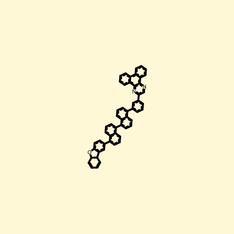 C1=CC2Oc3ccc(-c4cccc5c(-c6cccc7c(-c8cccc(-c9cnc%10c%11ccccc%11c%11ccccc%11c%10n9)c8)cccc67)cccc45)cc3C2C=C1